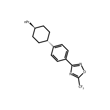 CCC[C@H]1CC[C@H](c2ccc(-c3noc(C(F)(F)F)n3)cc2)CC1